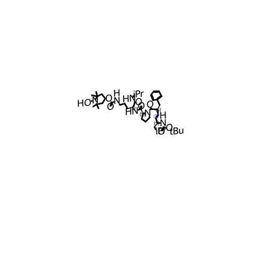 CC(C)C[C@@H](/C=C/[C@H](Cc1ccccc1)C(=O)N1CCC[C@H]1C(=O)N[C@@H](CCCNC(=O)OC1CC(C)(C)N(O)C(C)(C)C1)C(=O)NC(C)C)NC(=O)OC(C)(C)C